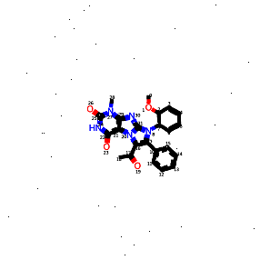 COC1C=CC=CC1n1c(-c2ccccc2)c(C(C)=O)n2c3c(=O)[nH]c(=O)n(C)c3nc12